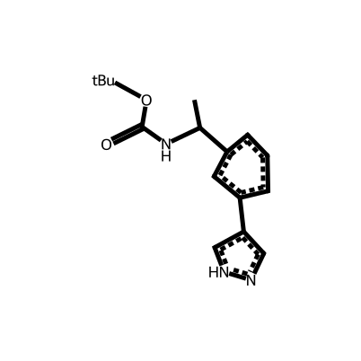 CC(NC(=O)OC(C)(C)C)c1cccc(-c2cn[nH]c2)c1